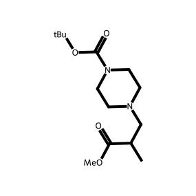 COC(=O)C(C)CN1CCN(C(=O)OC(C)(C)C)CC1